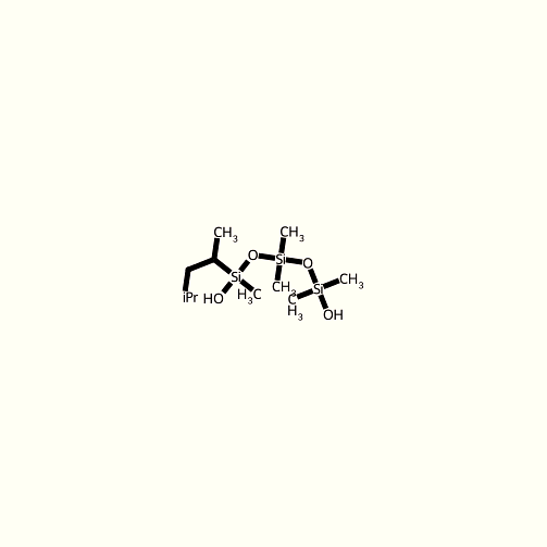 CC(C)CC(C)[Si](C)(O)O[Si](C)(C)O[Si](C)(C)O